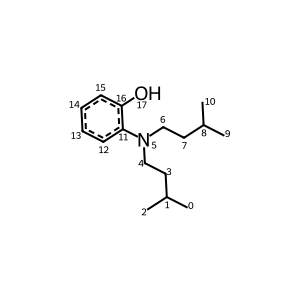 CC(C)CCN(CCC(C)C)c1ccccc1O